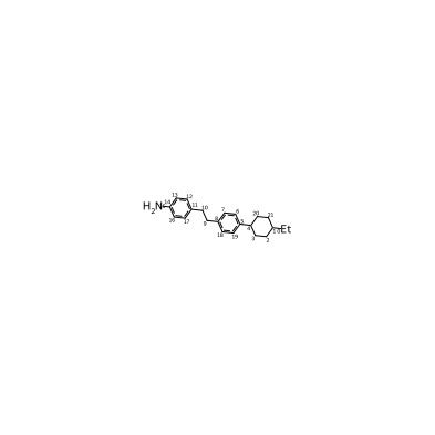 CCC1CCC(c2ccc(CCc3ccc(N)cc3)cc2)CC1